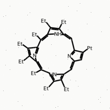 CCC1=C(CC)c2nc1c(CC)c1[nH]c(cc3nc(cc4[nH]c(c2CC)c(CC)c4CC)[C]([Pt])=C3)c(CC)c1CC